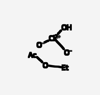 CCOC(C)=O.[O-][Cl+2]([O-])O